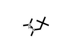 CN(CC(C)(C)C)[SiH](C)C